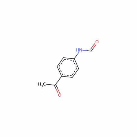 CC(=O)c1ccc(NC=O)cc1